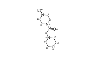 CCN1CCN(C(=O)CN2CCOCC2)CC1